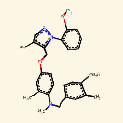 Cc1cc(CN(C)c2ccc(OCc3c(C(C)C)cnn3-c3ccccc3OC(F)(F)F)cc2C)ccc1C(=O)O